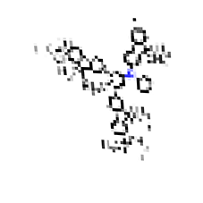 Cc1c(-c2ccc3c(c2)C(C)(C)c2cc(C(C)(C)C)ccc2-3)cc(N(c2ccccc2)c2ccc3c(c2)C(C)(C)c2ccccc2-3)cc1-c1ccc2c(c1)C(C)(C)c1cc(C(C)(C)C)ccc1-2